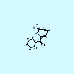 O=C(c1cccc(Br)n1)C1CCCCC1